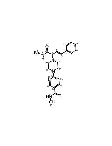 CCC(C)NC(=O)C(/C=C/c1ccccc1)N1CCN(c2ncc(C(=O)NO)cn2)CC1